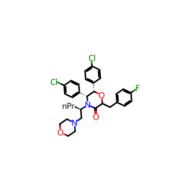 CCC[C@H](CN1CCOCC1)N1C(=O)C(Cc2ccc(F)cc2)O[C@@H](c2ccc(Cl)cc2)[C@H]1c1ccc(Cl)cc1